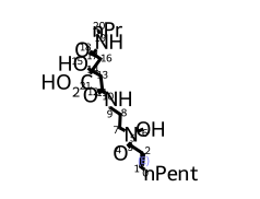 CCCCC/C=C/C(=O)N(O)CCCNC(=O)CC(O)(CC(=O)NCCC)C(=O)O